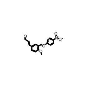 COc1ccc(C=CC=O)cc1COc1ccc([N+](=O)[O-])cc1